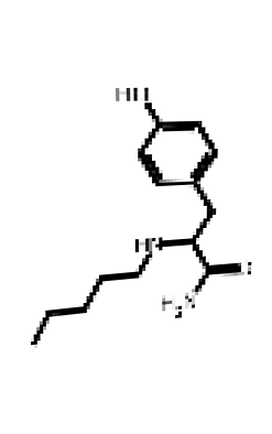 CCCCCNC(Cc1ccc(O)cc1)C(N)=O